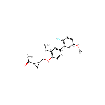 COC(=O)C1CC1COc1ccc(-c2cc(OC(C)C)ccc2F)cc1CC=O